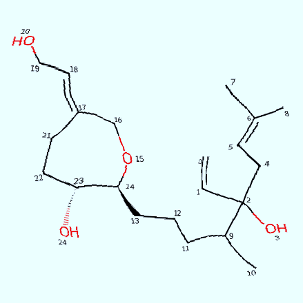 C=CC(O)(CC=C(C)C)C(C)CCC[C@@H]1OC/C(=C/CO)CC[C@H]1O